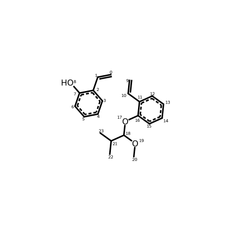 C=Cc1ccccc1O.C=Cc1ccccc1OC(OC)C(C)C